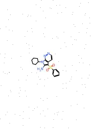 Nc1c(S(=O)(=O)c2ccccc2)c2ccnnc2n1C1CCCCC1